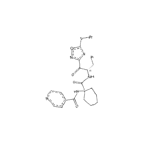 CC(C)C[C@H](NC(=O)C1(NC(=O)c2ccncc2)CCCCC1)C(=O)c1noc(SC(C)C)n1